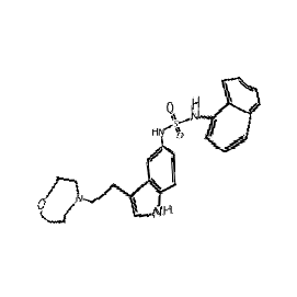 O=S(=O)(Nc1ccc2[nH]cc(CCN3CCOCC3)c2c1)Nc1cccc2ccccc12